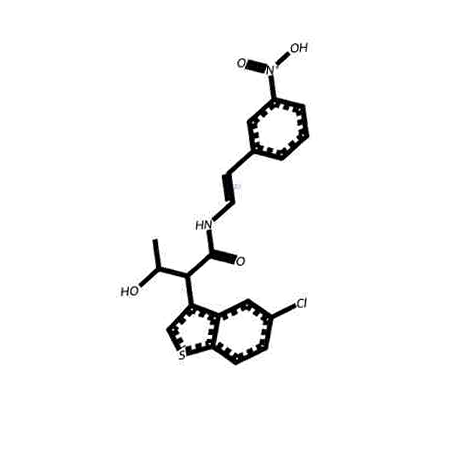 CC(O)C(C(=O)N/C=C/c1cccc([N+](=O)O)c1)c1csc2ccc(Cl)cc12